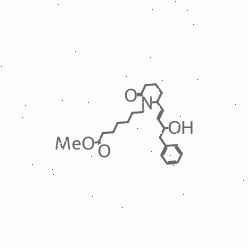 COC(=O)CCCCCCN1C(=O)CCCC1/C=C/C(O)Cc1ccccc1